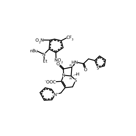 CCCCN(CC)c1c([N+](=O)[O-])cc(C(F)(F)F)cc1[N+](=O)[O-].O=C(Cc1cccs1)N[C@@H]1C(=O)N2C(C(=O)[O-])=C(C[n+]3ccccc3)CS[C@H]12